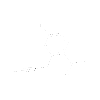 CC#CCc1cc(F)ccc1C(=O)O